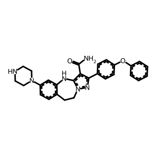 NC(=O)c1c(-c2ccc(Oc3ccccc3)cc2)nn2c1Nc1cc(N3CCNCC3)ccc1CC2